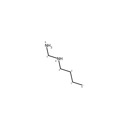 [CH2]CCCNCN